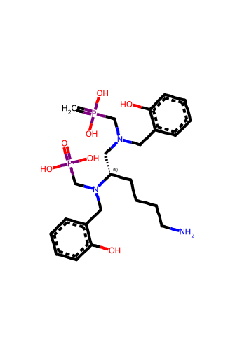 C=P(O)(O)CN(Cc1ccccc1O)C[C@H](CCCCN)N(Cc1ccccc1O)CP(=O)(O)O